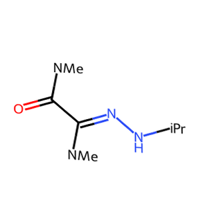 CNC(=O)/C(=N/NC(C)C)NC